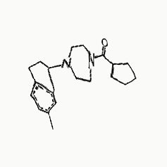 Cc1ccc2c(c1)C(N1CCN(C(=O)C3CCCC3)CC1)CC2